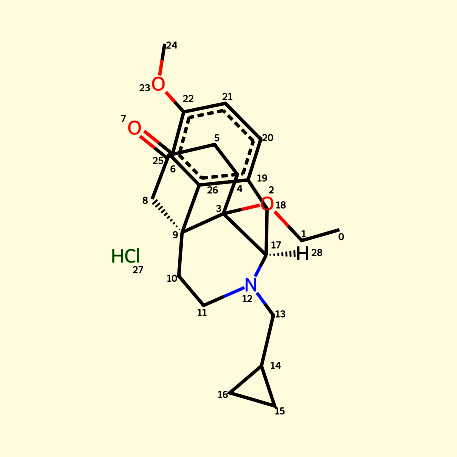 CCOC12CCC(=O)C[C@@]13CCN(CC1CC1)[C@@H]2Cc1ccc(OC)cc13.Cl